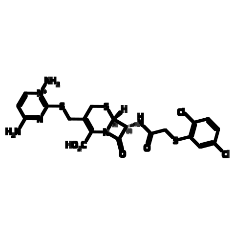 Nc1cc[n+](N)c(SCC2=C(C(=O)O)N3C(=O)[C@@H](NC(=O)CSc4cc(Cl)ccc4Cl)[C@H]3SC2)n1